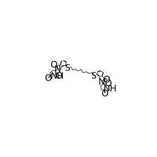 O=C1CCC(N2Cc3c(SCCCCCCCCCSc4cccc5c4CN(C4CCC(=O)NC4=O)C5=O)cccc3C2=O)C(=O)N1